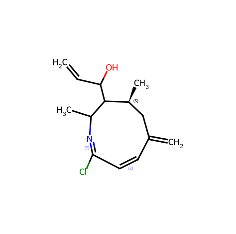 C=CC(O)C1C(C)/N=C(Cl)\C=C/C(=C)C[C@@H]1C